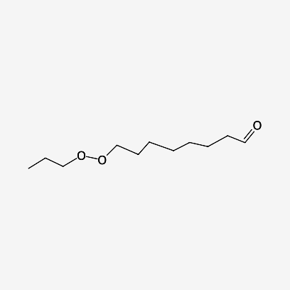 CCCOOCCCCCCCC=O